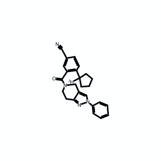 [2H]C1(c2ccc(C#N)cc2C(=O)N2CCc3nn(-c4ccccc4)cc3C2)CCCC1